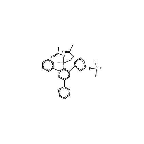 CC(=O)OCC(C)(OC(C)=O)[n+]1c(-c2ccccc2)cc(-c2ccccc2)cc1-c1ccccc1.F[B-](F)(F)F